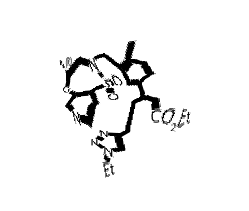 CCOC(=O)CC(CCc1cn(CC)nn1)c1ccc(C)c(CN2C[C@@H](C)Oc3cnccc3S2(=O)=O)c1